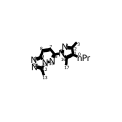 CCCc1c(C)nn(-c2ccc3nnc(C)n3n2)c1C